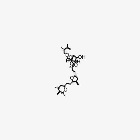 C=C(C)[C@H](C)COCC1O[C@]2(CC[C@@H]3CC(=C)[C@@H](CC[C@@H]4C[C@H](C)C(=C)[C@H](C)O4)O3)C[C@@H]3OC1C(O)[C@@H]3O2